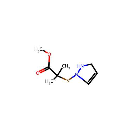 COC(=O)C(C)(C)SN1C=CCN1